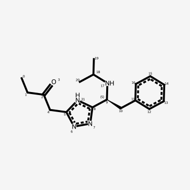 CCC(=O)Cc1nnc([C@H](Cc2ccccc2)NC(C)C)[nH]1